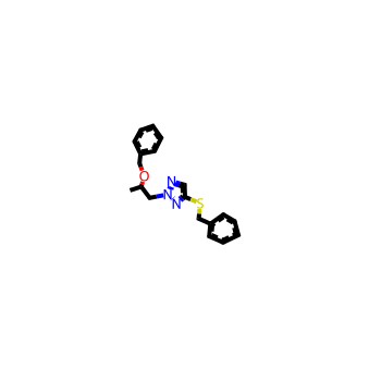 CC(Cn1ncc(SCc2ccccc2)n1)OCc1ccccc1